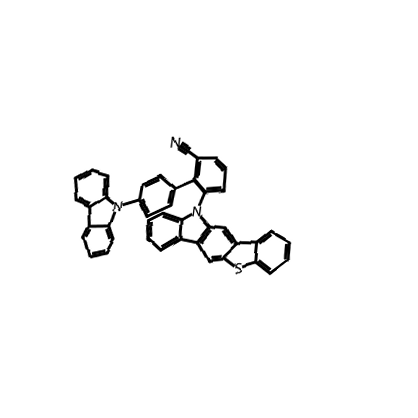 N#Cc1cccc(-n2c3ccccc3c3cc4sc5ccccc5c4cc32)c1-c1ccc(-n2c3ccccc3c3ccccc32)cc1